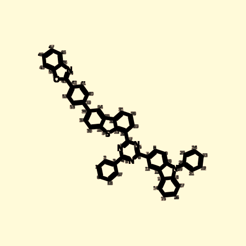 c1ccc(-c2nc(-c3ccc4c(c3)c3ccccc3n4-c3ccccc3)nc(-c3cccc4c3sc3ccc(-c5ccc(-c6nc7ccccc7o6)cc5)cc34)n2)cc1